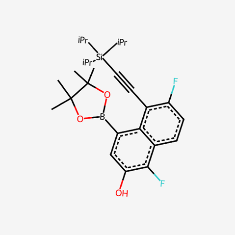 CC(C)[Si](C#Cc1c(F)ccc2c(F)c(O)cc(B3OC(C)(C)C(C)(C)O3)c12)(C(C)C)C(C)C